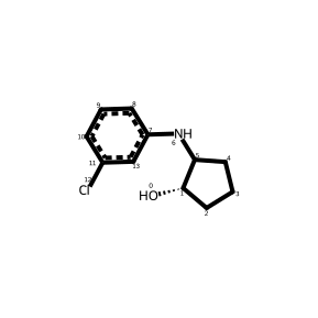 O[C@H]1CCCC1Nc1cccc(Cl)c1